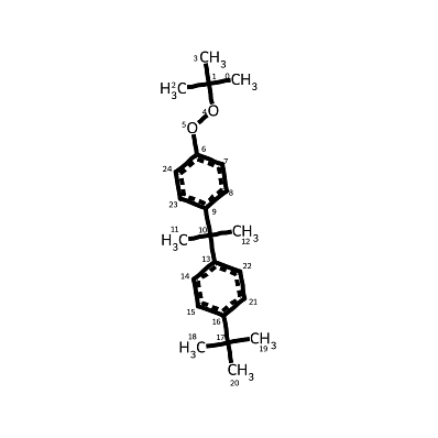 CC(C)(C)OOc1ccc(C(C)(C)c2ccc(C(C)(C)C)cc2)cc1